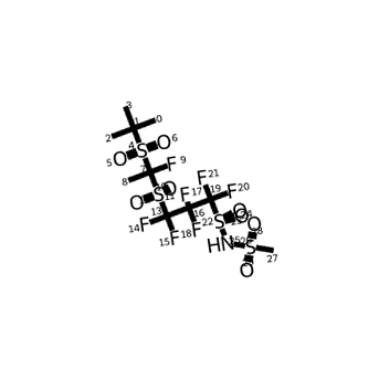 CC(C)(C)S(=O)(=O)C(C)(F)S(=O)(=O)C(F)(F)C(F)(F)C(F)(F)S(=O)(=O)NS(C)(=O)=O